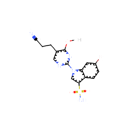 COc1nc(-n2cc(S(N)(=O)=O)c3ccc(Br)cc32)ncc1CCC#N